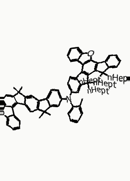 CCCCCCCC1(CCCCCCC)c2ccccc2-c2c1c1c(c3c2oc2ccccc23)-c2ccc(N(c3ccc4c(c3)C(C)(C)c3cc5c(cc3-4)C(C)(C)c3ccc4oc6ccccc6c4c3-5)c3ccccc3C)cc2C1(CCCCCCC)CCCCCCC